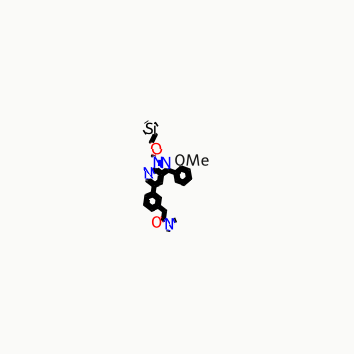 COc1ccccc1-c1nn(COCC[Si](C)(C)C)c2ncc(-c3cccc(CC(=O)N(C)C)c3)cc12